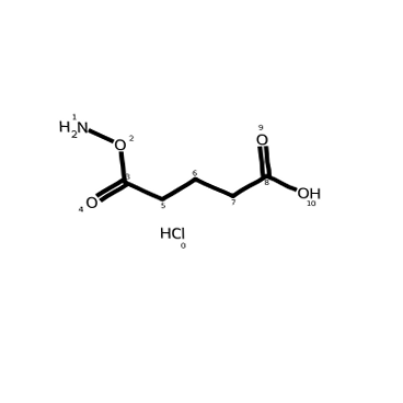 Cl.NOC(=O)CCCC(=O)O